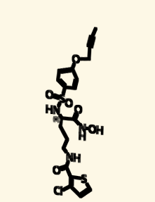 CC#CCOc1ccc(S(=O)(=O)N[C@H](CCCNC(=O)c2sccc2Cl)C(=O)NO)cc1